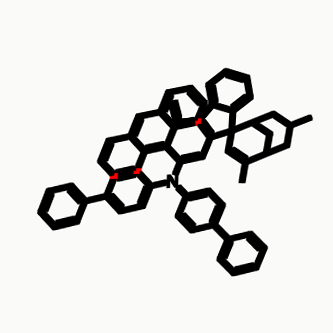 C=CC1=C(/C=C(\c2c3ccccc3cc3ccccc23)N(c2ccc(-c3ccccc3)cc2)c2ccc(-c3ccccc3)cc2)C2(C=C(C)C3CC(C)CC2C3)c2ccccc21